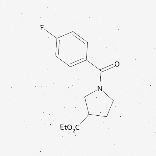 CCOC(=O)C1CCN(C(=O)c2ccc(F)cc2)C1